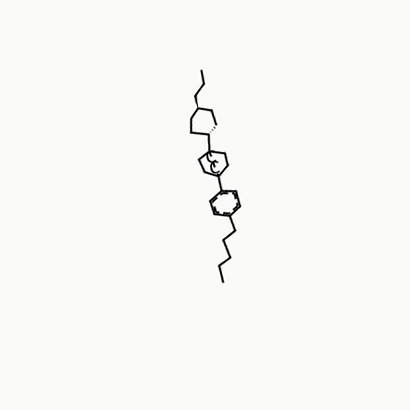 CCCCCc1ccc(C23CCC([C@H]4CC[C@H](CCC)CC4)(CC2)CC3)cc1